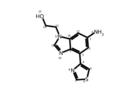 Nc1cc(-c2cscn2)c2ncn(CCO)c2c1